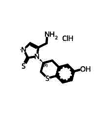 Cl.NCC1=C[N]C(=S)N1[C@H]1CSc2ccc(O)cc2C1